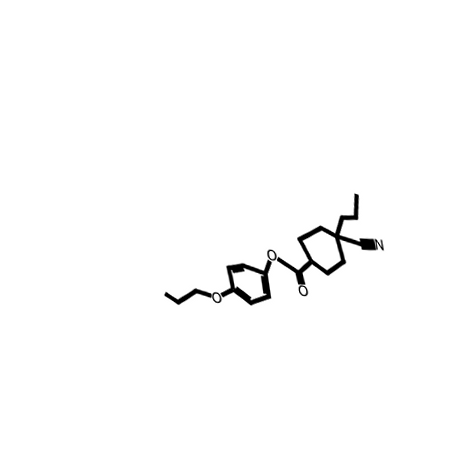 CCCOc1ccc(OC(=O)C2CCC(C#N)(CCC)CC2)cc1